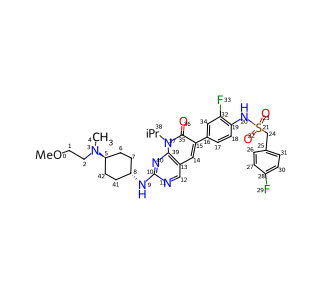 COCCN(C)[C@H]1CC[C@H](Nc2ncc3cc(-c4ccc(NS(=O)(=O)Cc5ccc(F)cc5)c(F)c4)c(=O)n(C(C)C)c3n2)CC1